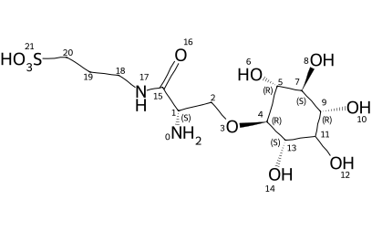 N[C@@H](CO[C@H]1[C@H](O)[C@@H](O)[C@H](O)C(O)[C@@H]1O)C(=O)NCCCS(=O)(=O)O